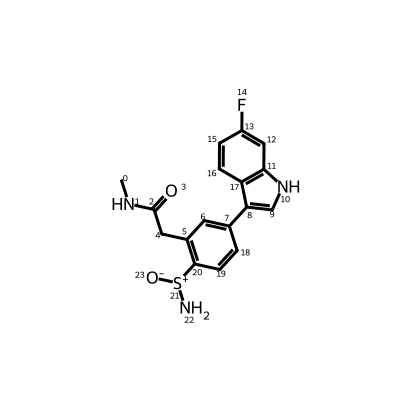 CNC(=O)Cc1cc(-c2c[nH]c3cc(F)ccc23)ccc1[S+](N)[O-]